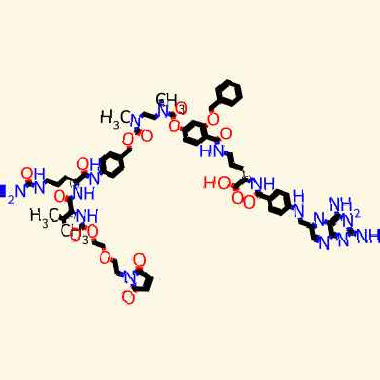 CC(C)[C@H](NC(=O)OCCOCCN1C(=O)C=CC1=O)C(=O)N[C@@H](CCCNC(N)=O)C(=O)Nc1ccc(COC(=O)N(C)CCN(C)C(=O)Oc2ccc(C(=O)NCCC[C@H](NC(=O)c3ccc(NCc4cnc5nc(N)nc(N)c5n4)cc3)C(=O)O)c(OCc3ccccc3)c2)cc1